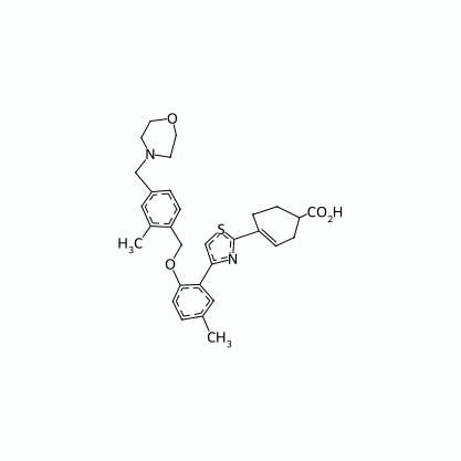 Cc1ccc(OCc2ccc(CN3CCOCC3)cc2C)c(-c2csc(C3=CCC(C(=O)O)CC3)n2)c1